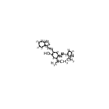 CN(C)c1cc(O)c(/N=N/c2snc3ccccc23)cc1/N=N/c1ccnn1C